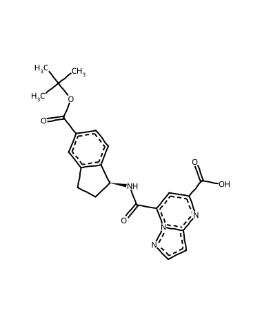 CC(C)(C)OC(=O)c1ccc2c(c1)CC[C@@H]2NC(=O)c1cc(C(=O)O)nc2ccnn12